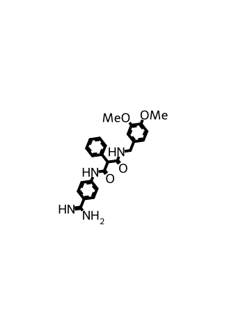 COc1ccc(CNC(=O)C(C(=O)Nc2ccc(C(=N)N)cc2)c2ccccc2)cc1OC